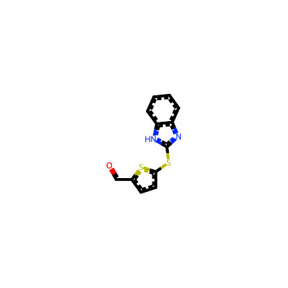 O=Cc1ccc(Sc2nc3ccccc3[nH]2)s1